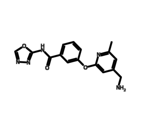 Cc1cc(CN)cc(Oc2cccc(C(=O)Nc3nnco3)c2)n1